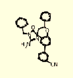 N#Cc1cccc(-c2ccc3c(c2)C2(CC(c4ccccc4)O3)N=C(N)N(Cc3ccccc3)C2=O)c1